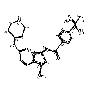 C=C(/C=C\c1nc(NC(=O)c2ccc(C(C)(C)C)cc2)cn1N)OC1CCNCC1